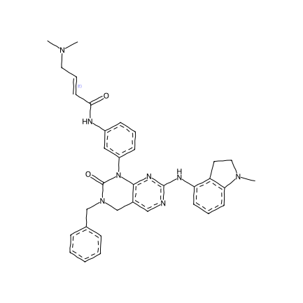 CN(C)C/C=C/C(=O)Nc1cccc(N2C(=O)N(Cc3ccccc3)Cc3cnc(Nc4cccc5c4CCN5C)nc32)c1